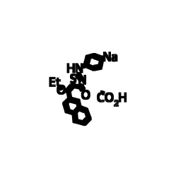 CC(=O)O.CCOC(=C1SC(Nc2cc[c]([Na])cc2)=NC1=O)c1ccc2ccccc2c1